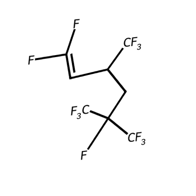 FC(F)=CC(CC(F)(C(F)(F)F)C(F)(F)F)C(F)(F)F